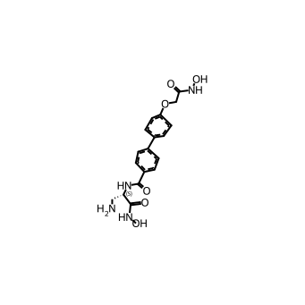 NC[C@H](NC(=O)c1ccc(-c2ccc(OCC(=O)NO)cc2)cc1)C(=O)NO